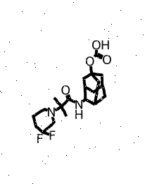 CC(C)(C(=O)NC1C2CC3CC1CC(OC(=O)O)(C3)C2)N1CCCC(F)(F)C1